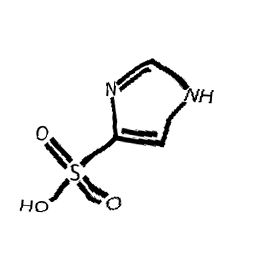 O=S(=O)(O)c1c[nH]cn1